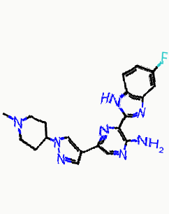 CN1CCC(n2cc(-c3cnc(N)c(-c4nc5cc(F)ccc5[nH]4)n3)cn2)CC1